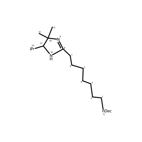 CCCCCCCCCCCCCCCCCC1=NC(C)(C)C(C(C)C)N1